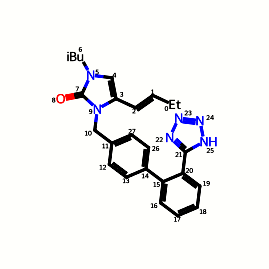 CC/C=C/c1cn(C(C)CC)c(=O)n1Cc1ccc(-c2ccccc2-c2nnn[nH]2)cc1